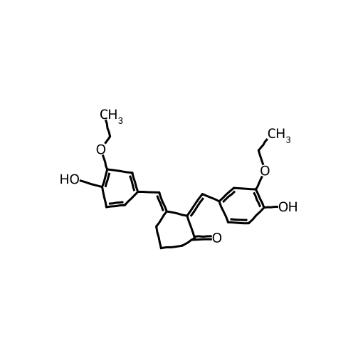 CCOc1cc(C=C2CCCC(=O)C2=Cc2ccc(O)c(OCC)c2)ccc1O